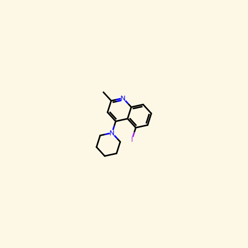 Cc1cc(N2CCCCC2)c2c(I)cccc2n1